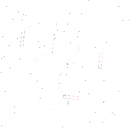 CC(=O)OC(I)(OC(C)=O)c1ccccc1